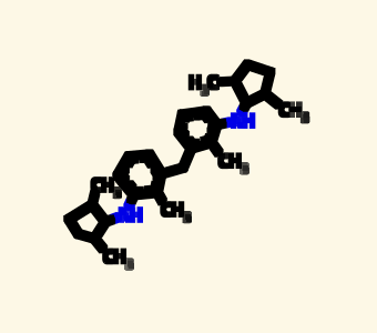 Cc1c(Cc2cccc(NC3C(C)CCC3C)c2C)cccc1NC1C(C)CCC1C